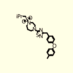 Cc1ccc(Oc2ccc(Cc3nsc(N4CCCN(S(=O)(=O)CC(C)C)CC4)n3)cc2)cc1